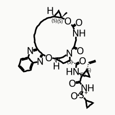 C=C[C@@H]1C[C@]1(NC(=O)[C@@H]1C[C@@H]2CN1C(=O)CNC(=O)O[C@@]1(C)C[C@@H]1CCCCCc1nc3ccccc3nc1O2)C(=O)N[S+]([O-])C1CC1